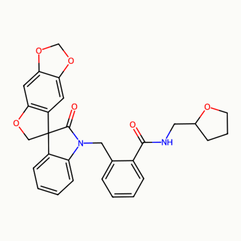 O=C(NCC1CCCO1)c1ccccc1CN1C(=O)C2(COc3cc4c(cc32)OCO4)c2ccccc21